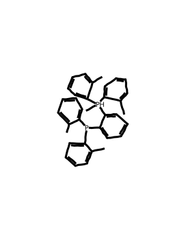 Cc1ccccc1P(c1ccccc1C)c1ccccc1[PH](C)(c1ccccc1C)c1ccccc1C